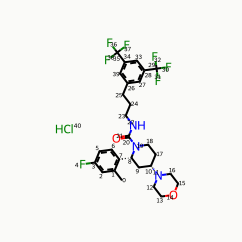 Cc1cc(F)ccc1[C@H]1C[C@@H](N2CCOCC2)CCN1C(=O)NCCCc1cc(C(F)(F)F)cc(C(F)(F)F)c1.Cl